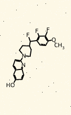 COc1ccc(C(F)C2CCN(c3ccc4cc(O)ccc4n3)CC2)c(F)c1F